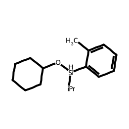 Cc1ccccc1[SiH](OC1CCCCC1)C(C)C